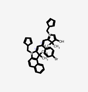 CC1(C)C(O)=C[N+](CC2C=CC=C2)=C1/C=C(/C=C1/N(CC2C=CC=C2)c2ccc3ccccc3c2C1(C)C)c1ccc(Br)cc1